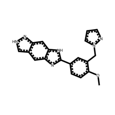 COc1ccc(-c2nc3cc4c[nH]nc4cc3[nH]2)cc1Cn1cccn1